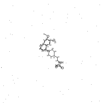 COc1cc2ncnc(N3CCC(CCN[SH](=O)=O)CC3)c2cc1OC